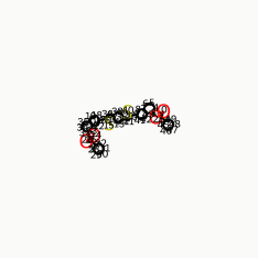 O=C(OC1CC=Cc2cc(-c3cc4cc5sc(-c6ccc7c(c6)C(OC(=O)C6CCCCC6)CC=C7)cc5cc4s3)ccc21)C1CCCCC1